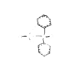 C[SiH](Cl)Cl.Cl[Si](Cl)(c1ccccc1)c1ccccc1